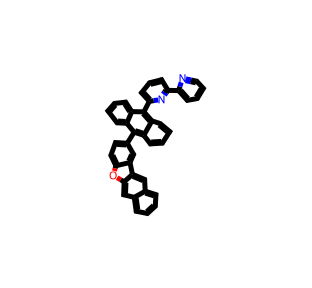 c1ccc(-c2cccc(-c3c4ccccc4c(-c4ccc5oc6cc7ccccc7cc6c5c4)c4ccccc34)n2)nc1